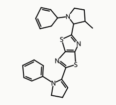 CC1CCN(C2C=CC=CC2)C1c1nc2sc(C3=CCCN3c3ccccc3)nc2s1